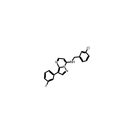 Fc1cccc(-c2cnn3c(NCc4cccc(Cl)c4)ccnc23)c1